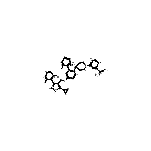 Cc1ccccc1-c1cc(OCc2c(-c3c(Cl)cccc3Cl)noc2C2CC2)ccc1C1(O)CCN(c2cc(C(=O)O)ccn2)CC1